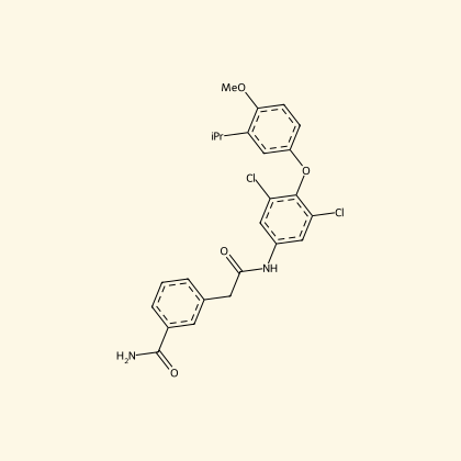 COc1ccc(Oc2c(Cl)cc(NC(=O)Cc3cccc(C(N)=O)c3)cc2Cl)cc1C(C)C